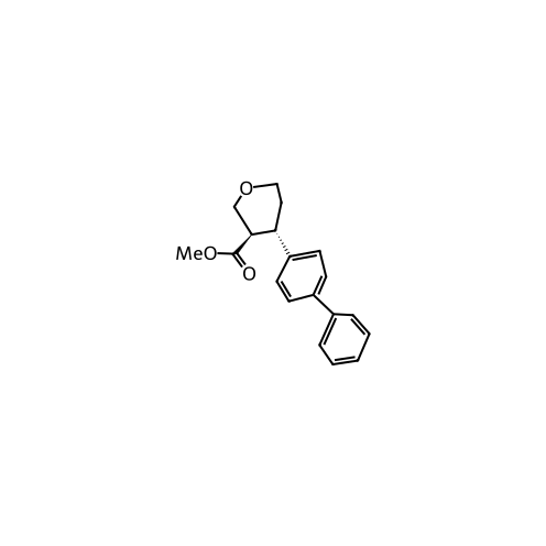 COC(=O)[C@H]1COCC[C@@H]1c1ccc(-c2ccccc2)cc1